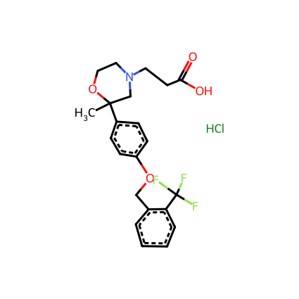 CC1(c2ccc(OCc3ccccc3C(F)(F)F)cc2)CN(CCC(=O)O)CCO1.Cl